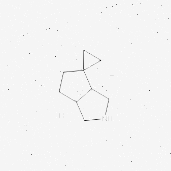 C[C@]12CNC[C@H]1CCC21CC1